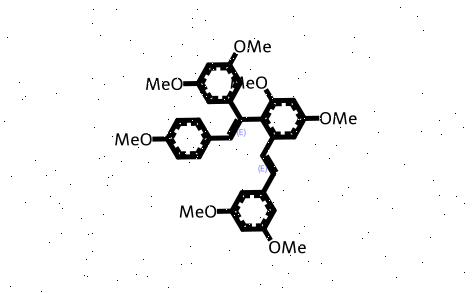 COc1ccc(/C=C(\c2cc(OC)cc(OC)c2)c2c(/C=C/c3cc(OC)cc(OC)c3)cc(OC)cc2OC)cc1